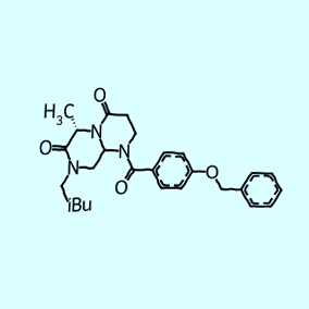 CCC(C)CN1CC2N(C(=O)c3ccc(OCc4ccccc4)cc3)CCC(=O)N2[C@@H](C)C1=O